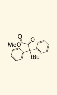 COC(=O)C(=O)C(c1ccccc1)(c1ccccc1)C(C)(C)C